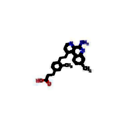 Cc1ccc2c(c1)nc(N)c1nccc(CCc3ccc(CCC(=O)O)cc3C)c12